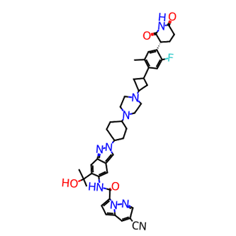 Cc1cc([C@H]2CCC(=O)NC2=O)c(F)cc1C1CC(N2CCN(C3CCC(n4cc5cc(NC(=O)c6ccc7cc(C#N)cnn67)c(C(C)(C)O)cc5n4)CC3)CC2)C1